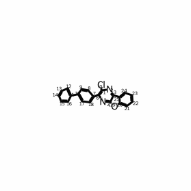 Clc1nc2c(nc1-c1ccc(-c3ccccc3)cc1)oc1ccccc12